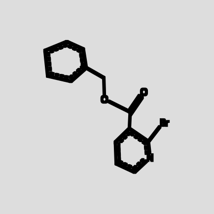 O=C(OCc1ccccc1)c1cccnc1Br